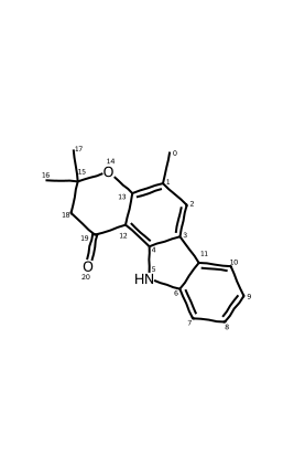 Cc1cc2c([nH]c3ccccc32)c2c1OC(C)(C)CC2=O